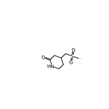 [CH2]S(=O)(=O)CC1CCNC(=O)C1